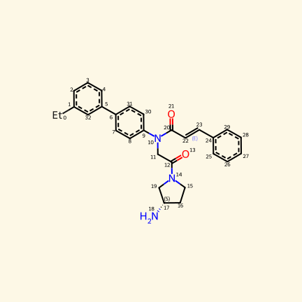 CCc1cccc(-c2ccc(N(CC(=O)N3CC[C@H](N)C3)C(=O)/C=C/c3ccccc3)cc2)c1